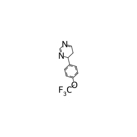 FC(F)(F)Oc1ccc(C2CC=NC=N2)cc1